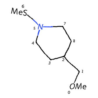 COCC1CCN(SC)CC1